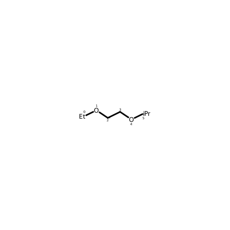 CCO[CH]COC(C)C